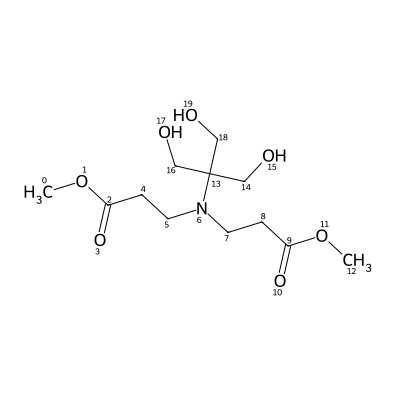 COC(=O)CCN(CCC(=O)OC)C(CO)(CO)CO